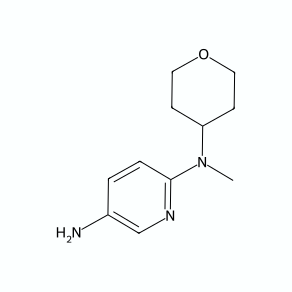 CN(c1ccc(N)cn1)C1CCOCC1